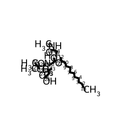 CCCCCCCCCCCCC[C@@H](CC(=O)NC)OC(=O)[C@H](CCCC(=O)O)NC(=O)OC(C)(C)C